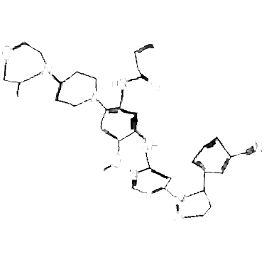 C=CC(=O)Nc1cc(Nc2cc(N3OCCC3c3cccc(C#N)c3)ncn2)c(OC)cc1N1CCC(N2CCOCC2C)CC1